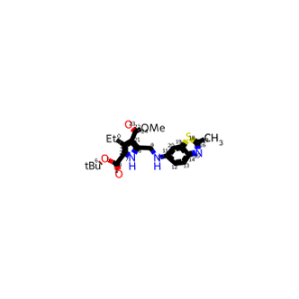 CCc1c(C(=O)OC(C)(C)C)[nH]c(CNc2ccc3nc(C)sc3c2)c1C(=O)OC